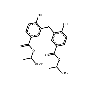 CCCCCCC(C)OC(=O)c1ccc(O)c(Sc2cc(C(=O)OC(C)CCCCCC)ccc2O)c1